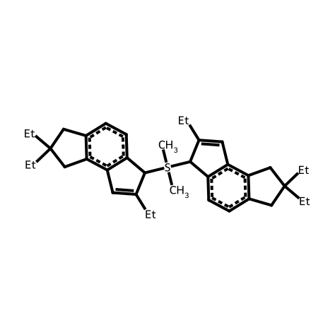 CCC1=Cc2c(ccc3c2CC(CC)(CC)C3)C1S(C)(C)C1C(CC)=Cc2c1ccc1c2CC(CC)(CC)C1